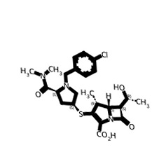 C[C@@H](O)[C@H]1C(=O)N2C(C(=O)O)=C(S[C@H]3C[C@@H](C(=O)N(C)C)N(Cc4ccc(Cl)cc4)C3)[C@H](C)[C@H]12